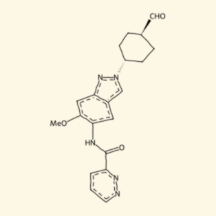 COc1cc2nn([C@H]3CC[C@H](C=O)CC3)cc2cc1NC(=O)c1cccnn1